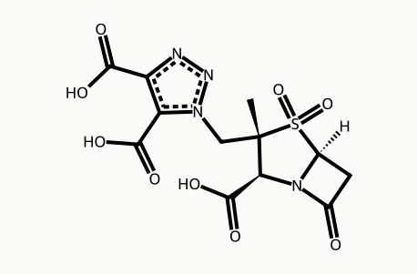 C[C@]1(Cn2nnc(C(=O)O)c2C(=O)O)[C@H](C(=O)O)N2C(=O)C[C@@H]2S1(=O)=O